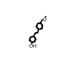 COCc1ccc(C=Cc2ccc(O)cc2)cc1